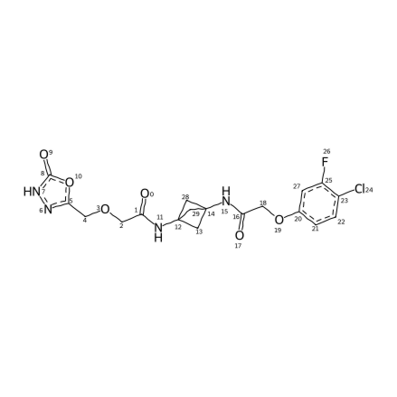 O=C(COCc1n[nH]c(=O)o1)NC12CC(NC(=O)COc3ccc(Cl)c(F)c3)(C1)C2